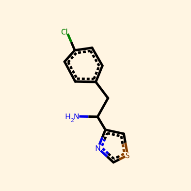 NC(Cc1ccc(Cl)cc1)c1cscn1